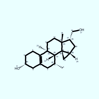 C[C@@H]1CC2=C(CC[C@@H](O)C2)[C@H]2CC[C@]3(C)[C@H](CO)C[C@@H]4C[C@]43[C@H]12